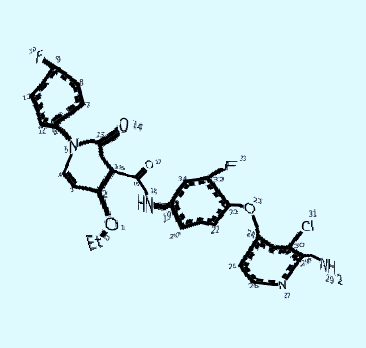 CCOC1C=CN(c2ccc(F)cc2)C(=O)C1C(=O)Nc1ccc(Oc2ccnc(N)c2Cl)c(F)c1